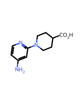 Nc1ccnc(N2CCC(C(=O)O)CC2)c1